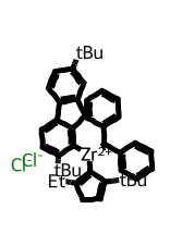 CCC1=[C]([Zr+2](=[C](c2ccccc2)c2ccccc2)[c]2c(C(C)(C)C)ccc3c2Cc2cc(C(C)(C)C)ccc2-3)C(C(C)(C)C)=CC1.[Cl-].[Cl-]